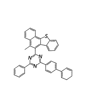 Cc1c(-c2nc(-c3ccccc3)nc(-c3ccc(C4=CCCC=C4)cc3)n2)c2c3ccccc3sc2c2ccccc12